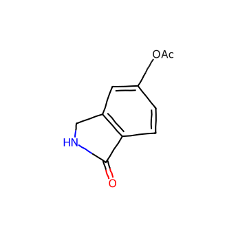 CC(=O)Oc1ccc2c(c1)CNC2=O